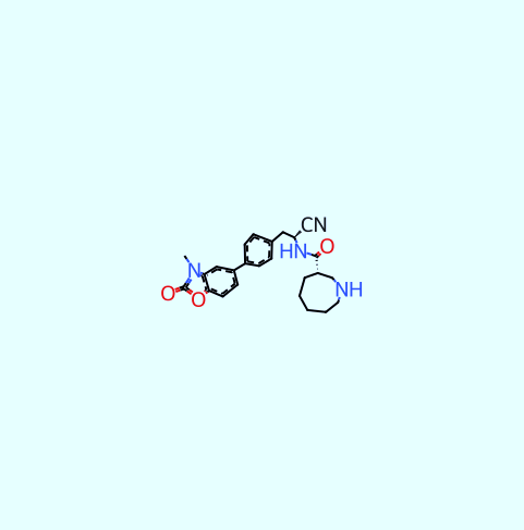 Cn1c(=O)oc2ccc(-c3ccc(C[C@@H](C#N)NC(=O)[C@H]4CCCCCNC4)cc3)cc21